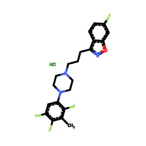 Cc1c(F)c(F)cc(N2CCN(CCCc3noc4cc(F)ccc34)CC2)c1F.Cl